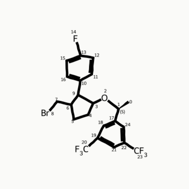 C[C@H](OC1CCC(CBr)C1c1ccc(F)cc1)c1cc(C(F)(F)F)cc(C(F)(F)F)c1